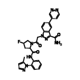 Cc1ccnn1-c1ccccc1NC(=O)C1CC(F)CN1C(=O)Cn1nc(C(N)=O)c2cc(-c3ccnnc3)ccc21